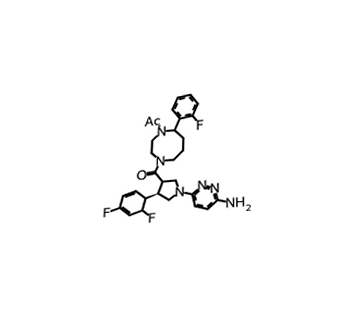 CC(=O)N1CCN(C(=O)C2CN(c3ccc(N)nn3)C[C@H]2C2C=CC(F)=CC2F)CCCC1c1ccccc1F